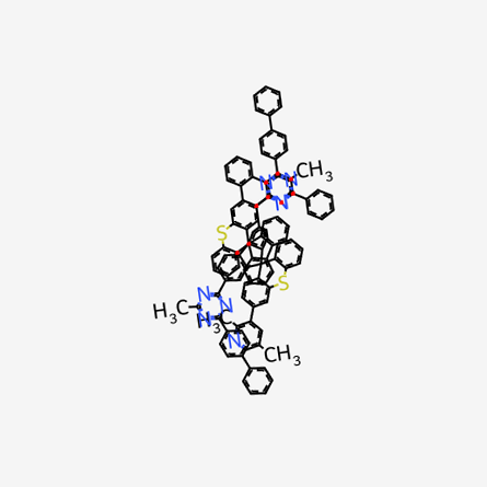 Cc1cnc(C)c(-c2ccc3c(c2)Sc2ccccc2C32c3ccc(Cc4ncc(C)cc4-c4ccccc4-c4cc5c(cc4-c4nc(-c6ccccc6)nc(-c6ccc(-c7ccccc7)cc6)n4)C4(c6ccccc6S5)c5ccccc5-c5ccccc54)cc3-c3ccc(-c4nc(C)nc(-c5ccc(-c6ccccc6)cc5)n4)cc32)c1